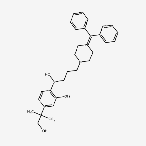 CC(C)(CO)c1ccc(C(O)CCCN2CCC(=C(c3ccccc3)c3ccccc3)CC2)c(O)c1